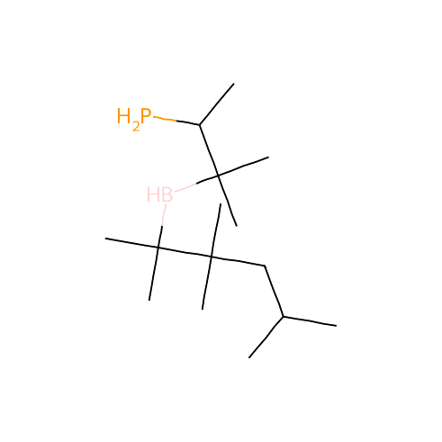 CC(C)CC(C)(C)C(C)(C)BC(C)(C)C(C)P